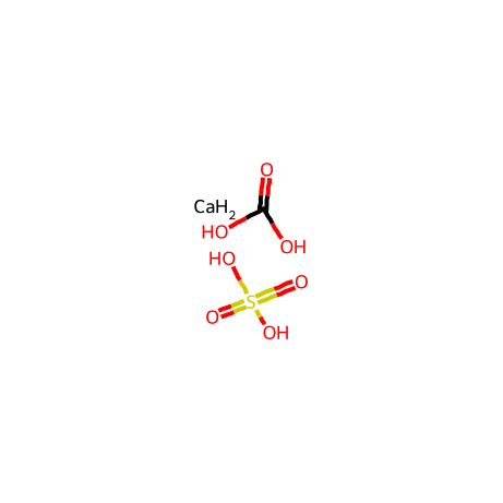 O=C(O)O.O=S(=O)(O)O.[CaH2]